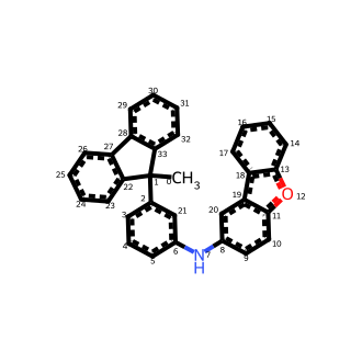 CC1(c2cccc(Nc3ccc4oc5ccccc5c4c3)c2)c2ccccc2-c2ccccc21